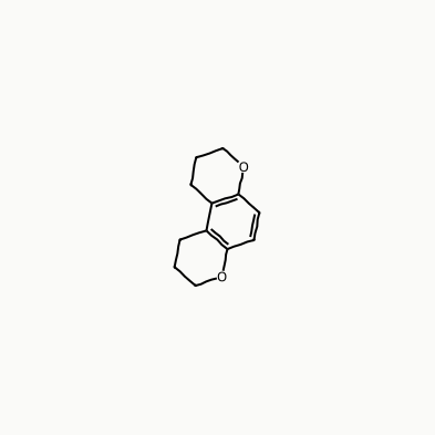 c1cc2c(c3c1OCCC3)CCCO2